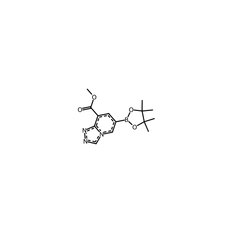 COC(=O)c1cc(B2OC(C)(C)C(C)(C)O2)cn2cnnc12